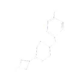 Brc1ccc(OC2CCN(C3CPC3)CC2)nc1